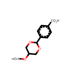 CCCCCCCCOC1COC(c2ccc(C(=O)O)cc2)OC1